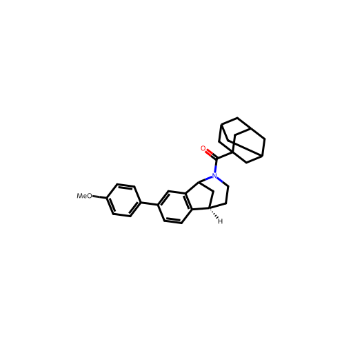 COc1ccc(-c2ccc3c(c2)C2C[C@H]3CCN2C(=O)C23CC4CC(CC(C4)C2)C3)cc1